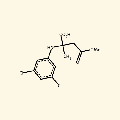 COC(=O)CC(C)(Nc1cc(Cl)cc(Cl)c1)C(=O)O